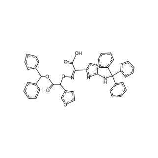 O=C(O)C(=NOC(C(=O)OC(c1ccccc1)c1ccccc1)c1ccoc1)c1csc(NC(c2ccccc2)(c2ccccc2)c2ccccc2)n1